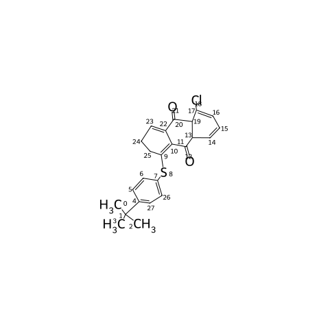 CC(C)(C)c1ccc(SC2=C3C(=O)C4C=CC=C(Cl)C4C(=O)C3=CCC2)cc1